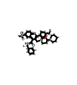 C[C@H](NC(=O)c1c(CN2CCC(N3CCCCC3)CC2)c(-c2ccc(CF)cc2)nc2ccc(S(C)(=O)=O)cc12)c1ccccc1